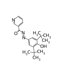 CC(C)(C)c1cc(N=NC(=O)c2cccnc2)cc(C(C)(C)C)c1O